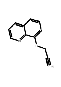 C#CCOc1cccc2cccnc12